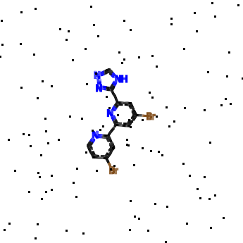 Brc1ccnc(-c2cc(Br)cc(-c3nnc[nH]3)n2)c1